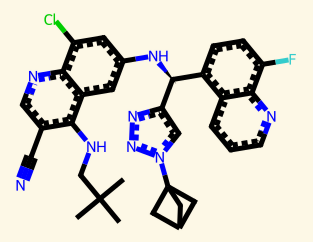 CC(C)(C)CNc1c(C#N)cnc2c(Cl)cc(N[C@H](c3cn(C45CC(C4)C5)nn3)c3ccc(F)c4ncccc34)cc12